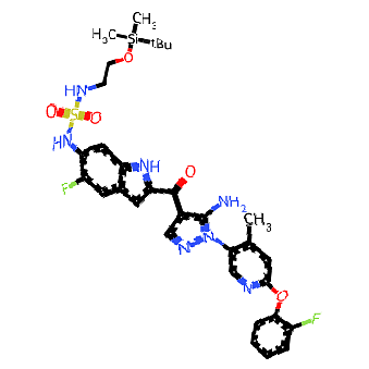 Cc1cc(Oc2ccccc2F)ncc1-n1ncc(C(=O)c2cc3cc(F)c(NS(=O)(=O)NCCO[Si](C)(C)C(C)(C)C)cc3[nH]2)c1N